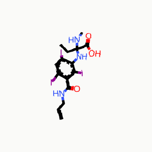 C=CCNC(=O)c1c(I)cc(I)c(NC(CC)(NC)C(=O)O)c1I